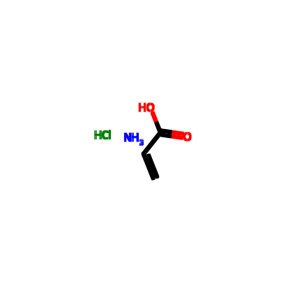 C=CC(=O)O.Cl.N